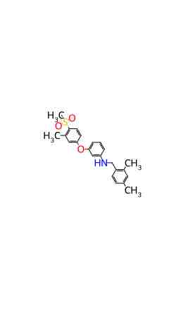 Cc1ccc(CNc2cccc(Oc3ccc(S(C)(=O)=O)c(C)c3)c2)c(C)c1